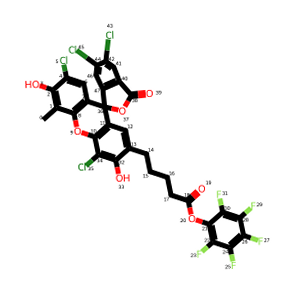 Cc1c(O)c(Cl)cc2c1Oc1c(cc(CCCCC(=O)Oc3c(F)c(F)c(F)c(F)c3F)c(O)c1Cl)C21OC(=O)c2cc(Cl)c(Cl)cc21